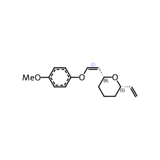 C=C[C@@H]1CCC[C@H](/C=C\Oc2ccc(OC)cc2)O1